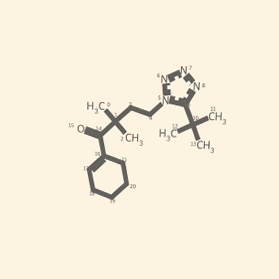 CC(C)(CCn1nnnc1C(C)(C)C)C(=O)C1=CCCCC1